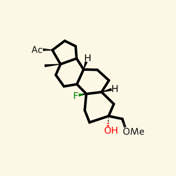 COC[C@@]1(O)CC[C@]2(F)C3CC[C@@]4(C)C(CC[C@@H]4C(C)=O)[C@@H]3CC[C@@H]2C1